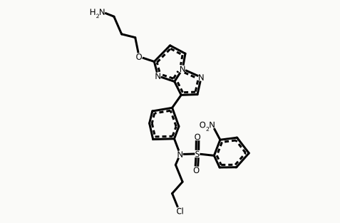 NCCCOc1ccn2ncc(-c3cccc(N(CCCCl)S(=O)(=O)c4ccccc4[N+](=O)[O-])c3)c2n1